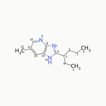 CCCC(CC)c1nc2ncc(C)cc2[nH]1